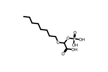 CCCCCCCCOC(OP(=O)(O)O)C(=O)O